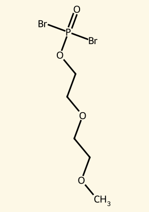 COCCOCCOP(=O)(Br)Br